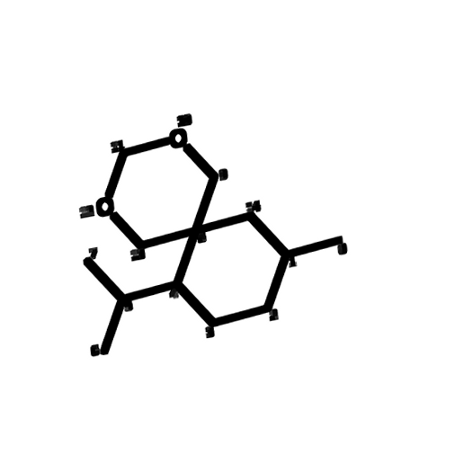 CC1CCC(C(C)C)C2(COCOC2)C1